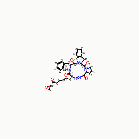 O=C1N=N[C@@H](CCCCCC(=O)[C@@H]2CO2)C(=O)N[C@@H](Cc2ccccc2)C(=O)N[C@@H](Cc2ccccc2)C(=O)N2CCCC12